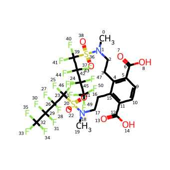 CN(CCc1c(C(=O)O)ccc(C(=O)O)c1CCN(C)S(=O)(=O)C(F)(F)C(F)(F)C(F)(F)C(F)(F)F)S(=O)(=O)C(F)(F)C(F)(F)C(F)(F)C(F)(F)F